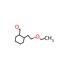 CCOCCC1CCCCC1C=O